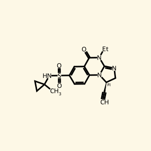 C#C[C@@H]1CN=C2N(CC)C(=O)c3cc(S(=O)(=O)NC4(C)CC4)ccc3N21